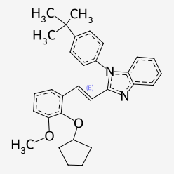 COc1cccc(/C=C/c2nc3ccccc3n2-c2ccc(C(C)(C)C)cc2)c1OC1CCCC1